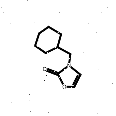 O=c1occn1CC1CCCCC1